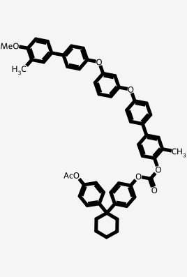 COc1ccc(-c2ccc(Oc3cccc(Oc4ccc(-c5ccc(OC(=O)Oc6ccc(C7(c8ccc(OC(C)=O)cc8)CCCCC7)cc6)c(C)c5)cc4)c3)cc2)cc1C